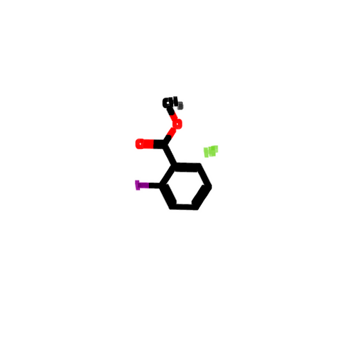 COC(=O)c1ccccc1I.F